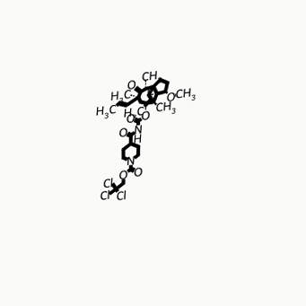 CC=C[C@]1(C)C[C@@H](OC(=O)NC(=O)C2CCN(C(=O)OCC(Cl)(Cl)Cl)CC2)[C@]2(C)C(C)CCC3(CC[C@@H](OC)C32)[C@@H](C)C1=O